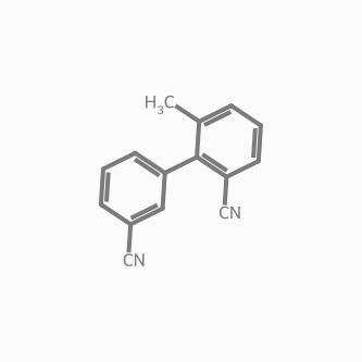 Cc1cccc(C#N)c1-c1cccc(C#N)c1